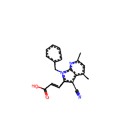 Cc1cc(C)c2c(C#N)c(C=CC(=O)O)n(Cc3ccccc3)c2n1